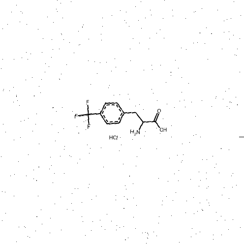 Cl.NC(Cc1ccc(C(F)(F)F)cc1)C(=O)O